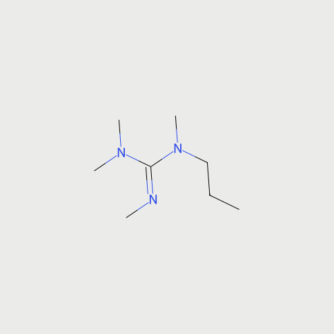 CCCN(C)C(=NC)N(C)C